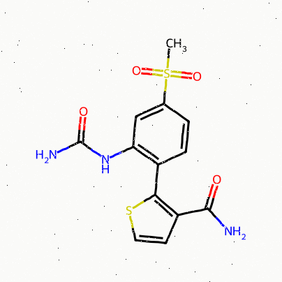 CS(=O)(=O)c1ccc(-c2sccc2C(N)=O)c(NC(N)=O)c1